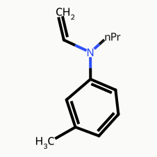 C=CN(CCC)c1cccc(C)c1